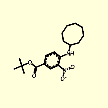 CC(C)(C)OC(=O)c1ccc(NC2CCCCCCC2)c([N+](=O)[O-])c1